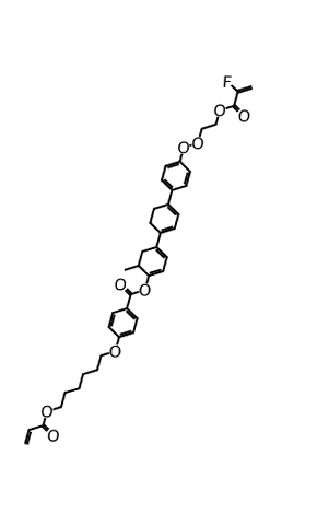 C=CC(=O)OCCCCCCOc1ccc(C(=O)OC2=CC=C(C3=CC=C(c4ccc(OOCCOC(=O)C(=C)F)cc4)CC3)CC2C)cc1